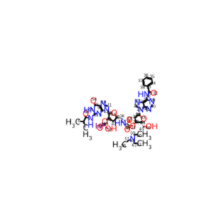 CC(C)C(=O)Nc1nc2c(ncn2[C@@H]2O[C@H](CNS(=O)(=O)O[C@H]3C[C@H](n4cnc5c(NC(=O)c6ccccc6)ncnc54)O[C@@H]3CO)C[C@H]2O[PH](=O)O)c(=O)[nH]1.CCN(CC)CC